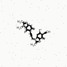 C#Cc1c(F)cc2c(nc(C)n2CC#Cc2c(F)cc3nc(C)n(C)c3c2F)c1F